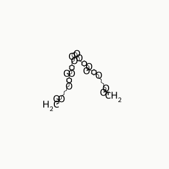 C=CC(=O)OCCCCCOc1ccc(C(=O)Oc2ccc(COC3OCCOC3OCc3ccc(OC(=O)c4ccc(OCCCCCOC(=O)C=C)cc4)cc3)cc2)cc1